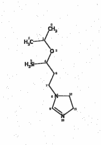 CC(C)OC([SiH3])CCN1C=NCC1